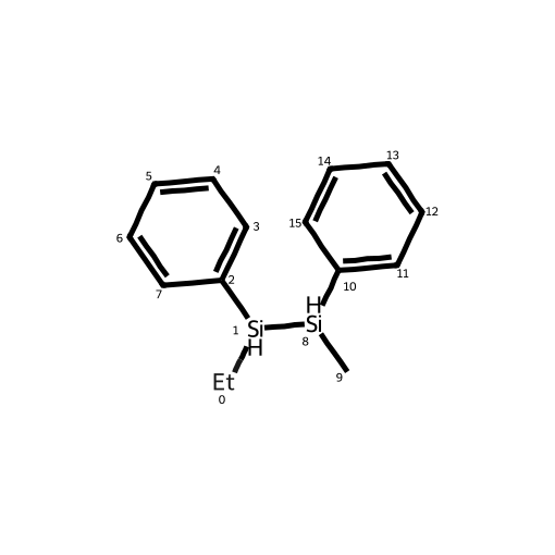 CC[SiH](c1ccccc1)[SiH](C)c1ccccc1